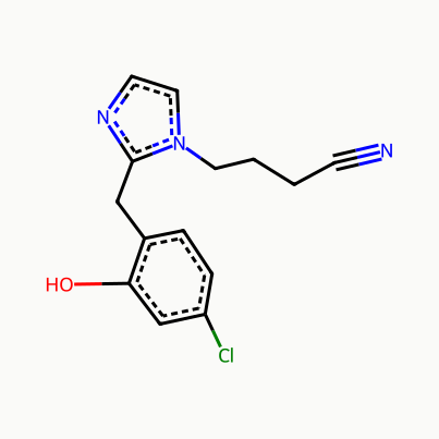 N#CCCCn1ccnc1Cc1ccc(Cl)cc1O